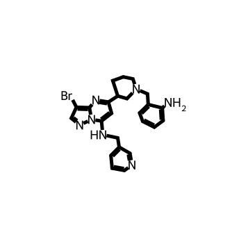 Nc1ccccc1CN1CCCC(c2cc(NCc3cccnc3)n3ncc(Br)c3n2)C1